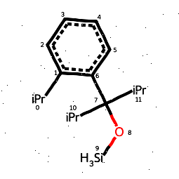 CC(C)c1ccccc1C(O[SiH3])(C(C)C)C(C)C